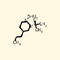 CCCC1CC[C@H](O)[C@H](C(C)(C)C)C1